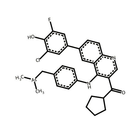 C[As](C)Cc1ccc(Nc2c(C(=O)C3CCCC3)cnc3ccc(-c4cc(F)c(O)c(Cl)c4)cc23)cc1